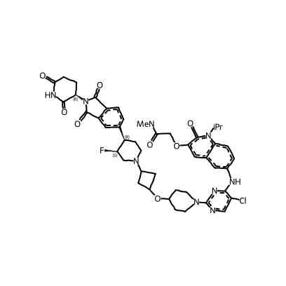 CNC(=O)COc1cc2cc(Nc3nc(N4CCC(OC5CC(N6CC[C@H](c7ccc8c(c7)C(=O)N([C@@H]7CCC(=O)NC7=O)C8=O)[C@H](F)C6)C5)CC4)ncc3Cl)ccc2n(C(C)C)c1=O